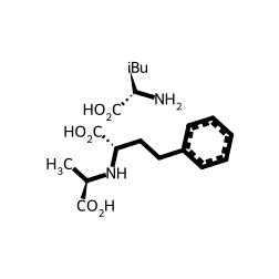 CC[C@H](C)[C@H](N)C(=O)O.C[C@@H](N[C@@H](CCc1ccccc1)C(=O)O)C(=O)O